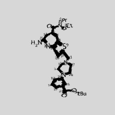 CCCN(OCC)C(=O)C1=Cc2sc(CN3CCN(c4cccc(C(=O)OC(C)(C)C)c4)CC3)cc2N=C(N)C1